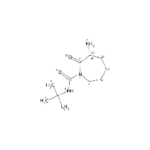 CC(C)(C)NC(=O)N1CCCC[C@@H](N)C1=O